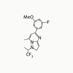 COc1cc(F)cc(C2=NC3=CCN(C(C)C(F)(F)F)N3C(C)=C2)c1